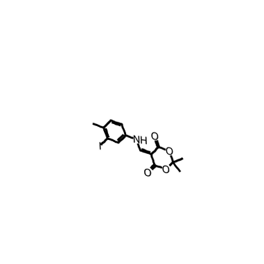 Cc1ccc(NC=C2C(=O)OC(C)(C)OC2=O)cc1I